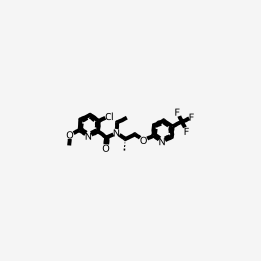 CCN(C(=O)c1nc(OC)ccc1Cl)[C@@H](C)COc1ccc(C(F)(F)F)cn1